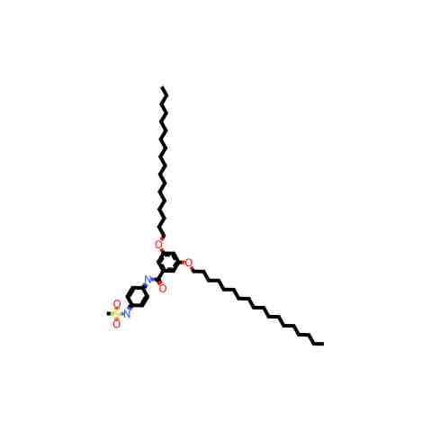 CCCCCCCCCCCCCCCCCCOc1cc(OCCCCCCCCCCCCCCCCCC)cc(C(=O)N=C2C=CC(=NS(C)(=O)=O)C=C2)c1